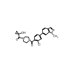 Cn1ncc2ccc(-c3ccc(C(=O)N4CCN(C(=O)C5(O)CC5)CC4)c(Cl)c3)cc21